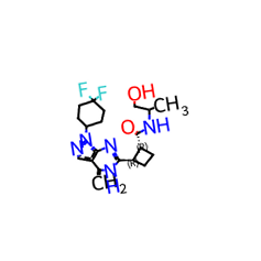 C=C1NC([C@@H]2CC[C@H]2C(=O)NC(C)CO)=Nc2c1cnn2C1CCC(F)(F)CC1